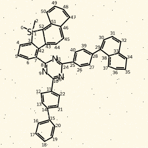 C[Si]1(C)c2cccc(-c3nc(-c4ccc(-c5ccccc5)cc4)nc(-c4ccc(-c5cccc6ccccc56)cc4)n3)c2-c2ccc3ccccc3c21